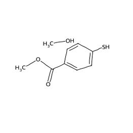 CO.COC(=O)c1ccc(S)cc1